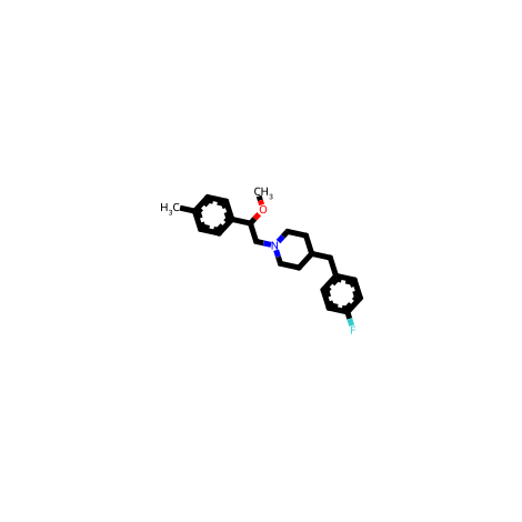 COC(CN1CCC(Cc2ccc(F)cc2)CC1)c1ccc(C)cc1